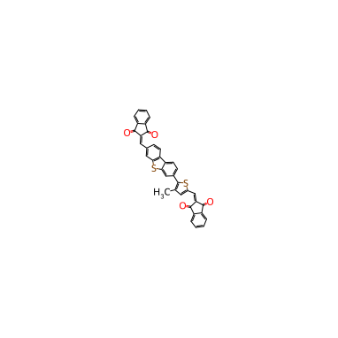 Cc1cc(C=C2C(=O)c3ccccc3C2=O)sc1-c1ccc2c(c1)sc1cc(C=C3C(=O)c4ccccc4C3=O)ccc12